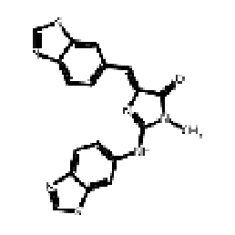 CN1C(=O)/C(=C/c2ccc3ncsc3c2)N=C1Nc1ccc2ncsc2c1